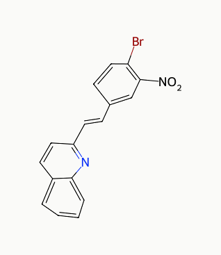 O=[N+]([O-])c1cc(C=Cc2ccc3ccccc3n2)ccc1Br